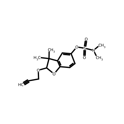 C#CCOC1Oc2ccc(OS(=O)(=O)N(C)C)cc2C1(C)C